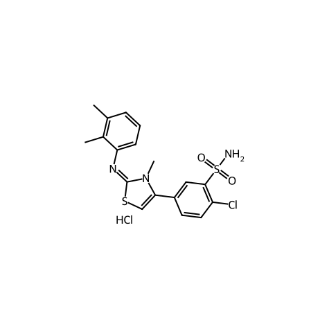 Cc1cccc(/N=c2/scc(-c3ccc(Cl)c(S(N)(=O)=O)c3)n2C)c1C.Cl